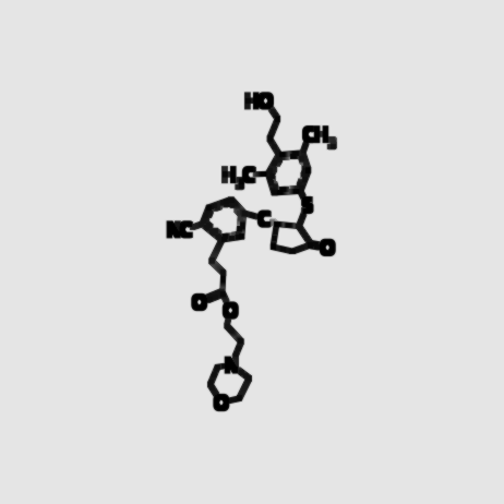 Cc1cc(SC2C(=O)CC[C@@H]2Cc2ccc(C#N)c(CCC(=O)OCCN3CCOCC3)c2)cc(C)c1CCO